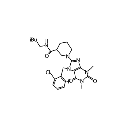 CCC(C)CNC(=O)C1CCCN(c2nc3c(c(=O)n(C)c(=O)n3C)n2Cc2c(F)cccc2Cl)C1